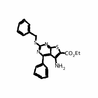 CCOC(=O)c1sc2nc(SCc3ccccc3)nc(-c3ccccc3)c2c1N